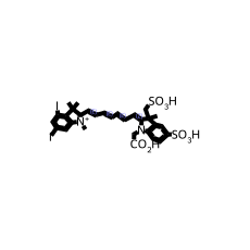 C[N+]1=C(/C=C/C=C/C=C/C=C2\N(CC(=O)O)c3ccc(S(=O)(=O)O)cc3C2(C)CS(=O)(=O)O)C(C)(C)c2c(I)cc(I)cc21